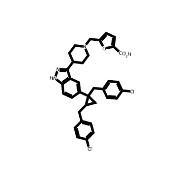 O=C(O)c1ccc(CN2CCC(c3n[nH]c4ccc(C5(Cc6ccc(Cl)cc6)CC5Cc5ccc(Cl)cc5)cc34)CC2)o1